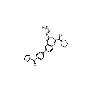 NN=NC1=Nc2cc(-c3ccc(C(=O)N4CCCC4)cc3)ccc2C=C(C(=O)N2CCCC2)C1